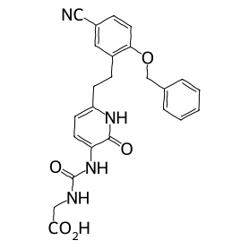 N#Cc1ccc(OCc2ccccc2)c(CCc2ccc(NC(=O)NCC(=O)O)c(=O)[nH]2)c1